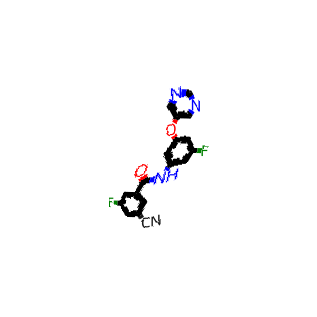 N#Cc1cc(F)cc(C(=O)Nc2cc(F)cc(Oc3cncnc3)c2)c1